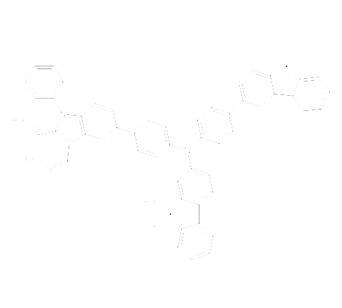 C=Cc1c(/C=C\C)c2cc(-c3ccc(N(c4ccc(-c5ccc6c(c5)-c5ccccc5C6(C)C)cc4)c4ccc5c(c4)C(C)(C)c4ccccc4-5)cc3)ccc2n1-c1ccccc1